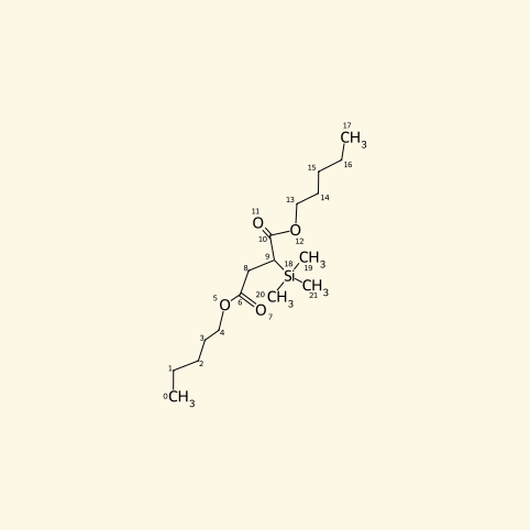 CCCCCOC(=O)CC(C(=O)OCCCCC)[Si](C)(C)C